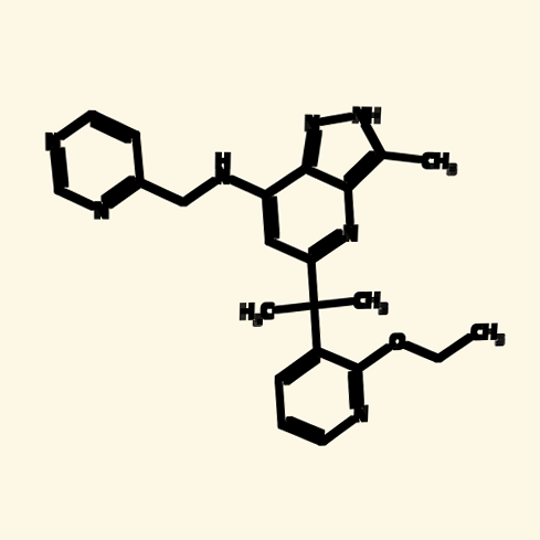 CCOc1ncccc1C(C)(C)c1cc(NCc2ccncn2)c2n[nH]c(C)c2n1